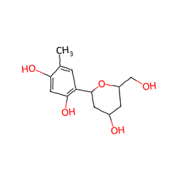 Cc1cc(C2CC(O)CC(CO)O2)c(O)cc1O